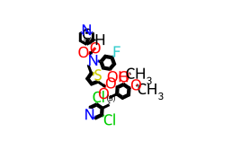 COc1ccc([C@H](Cc2c(Cl)cncc2Cl)OC(=O)c2ccc(CN(C(=O)O[C@H]3CN4CCC3CC4)c3cc(O)cc(F)c3)s2)cc1OC